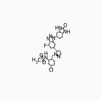 CS(=O)(=O)Nc1cc(Cl)ccc1Cn1nccc1-c1cc(F)c2nnn(-c3ccc4[nH]c(=O)[nH]c4c3)c2c1